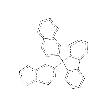 c1ccc2c(c1)-c1ccccc1[Si]2(c1ccc2ccccc2c1)c1ccc2ccccc2c1